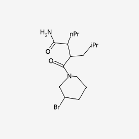 CCCC(C(N)=O)C(CC(C)C)C(=O)N1CCCC(Br)C1